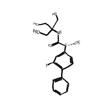 C[C@@H](C(=O)NC(CO)(CO)CO)c1ccc(-c2ccccc2)c(F)c1